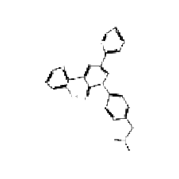 CN(C)Cc1ccc(-n2cc(-c3ccccn3)cc(-c3ccccc3C#N)c2=O)cc1